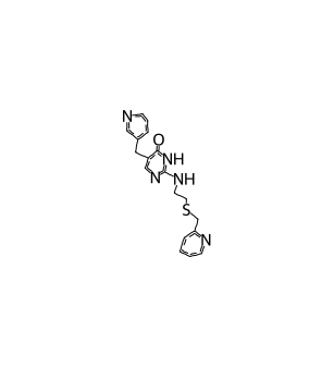 O=c1[nH]c(NCCSCc2ccccn2)ncc1Cc1cccnc1